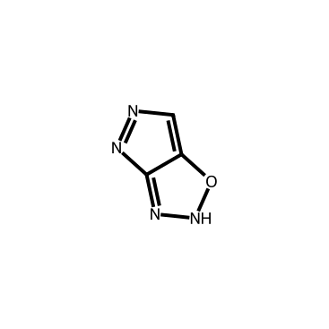 c1nnc2n[nH]oc1-2